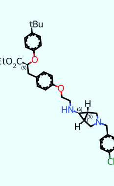 CCOC(=O)[C@H](Cc1ccc(OCCN[C@H]2[C@@H]3CN(Cc4ccc(Cl)cc4)C[C@@H]32)cc1)Oc1ccc(C(C)(C)C)cc1